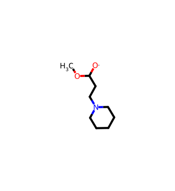 COC([O])CCN1CCCCC1